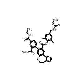 COC(=O)c1nc(C(=O)NCC(F)(F)F)ccc1-c1cc2c(cc1C(=O)Nc1c(C)cc(CNC(=O)OC(C)(C)C)cc1C)-c1sccc1CCO2